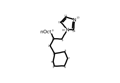 CCCCCCCCC(CC1CCCCC1)Cn1ccnc1